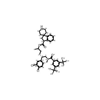 CC(CC[C@H](CN(C)C(=O)c1cc(C(F)(F)F)cc(C(F)(F)F)c1)c1ccc(Cl)c(Cl)c1)OC(=O)C1CC2(CCNCC2)c2ccccc21